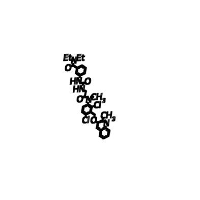 CCN(CC)C(=O)c1cccc(NC(=O)NCC(=O)N(C)c2ccc(Cl)c(COc3cc4ccccc4nc3C)c2Cl)c1